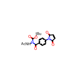 CC(=O)NN(C(=O)OC(C)(C)C)C(=O)c1ccc(N2C(=O)C=CC2=O)cc1